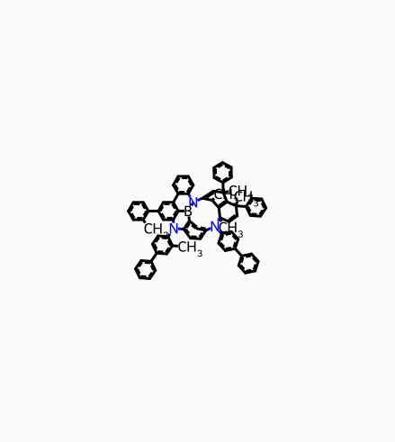 Cc1ccccc1-c1cc2c3c(c1)N(c1ccc(-c4ccccc4)cc1C)c1ccc4cc1B3N(C1=CC(C)(c3ccccc3)C3=C(C1C)C(C)(C=CC3(C)c1ccccc1)N4c1ccc(-c3ccccc3)cc1)c1ccccc1-2